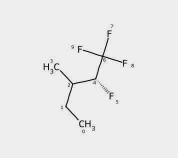 CCC(C)[C@@H](F)C(F)(F)F